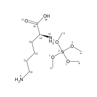 CO[Si](OC)(OC)OC.NCCCC[C@H](N)C(=O)O